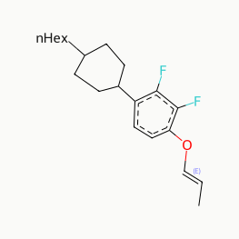 C/C=C/Oc1ccc(C2CCC(CCCCCC)CC2)c(F)c1F